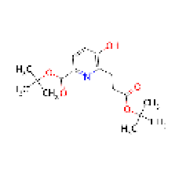 CC(C)(C)OC(=O)CCc1nc(C(=O)OC(C)(C)C)ccc1O